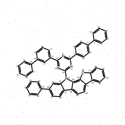 c1ccc(-c2ccc(-c3nc(-c4cccc(-c5ccccc5)c4)nc(-n4c5cc(-c6ccccc6)ccc5c5ccc6c7ccccc7oc6c54)n3)cc2)cc1